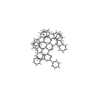 c1ccc(-c2cc(-c3ccccc3)nc(-c3nc(-n4c5ccccc5c5ccccc54)c(-n4c5ccccc5c5ccccc54)c(-n4c5ccccc5c5ccccc54)c3-n3c4ccccc4c4ccccc43)n2)cc1